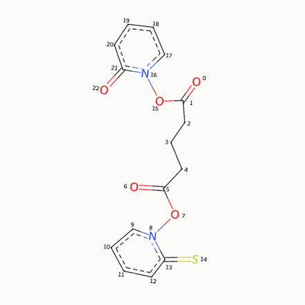 O=C(CCCC(=O)On1ccccc1=S)On1ccccc1=O